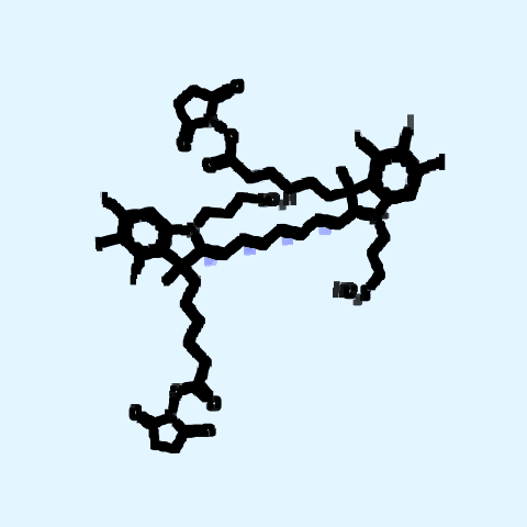 CC1(CCCCCC(=O)ON2C(=O)CCC2=O)C(/C=C/C=C/C=C/C=C2\N(CCCS(=O)(=O)O)c3cc(I)c(I)c(I)c3C2(C)CCCCCC(=O)ON2C(=O)CCC2=O)=[N+](CCCS(=O)(=O)O)c2cc(I)c(I)c(I)c21